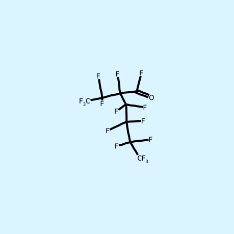 O=C(F)C(F)(C(F)(F)C(F)(F)F)C(F)(F)C(F)(F)C(F)(F)C(F)(F)F